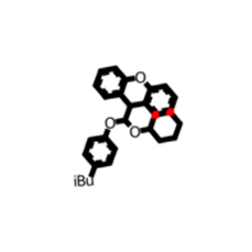 CCC(C)c1ccc(OC(OC2CCCCC2)C2c3ccccc3Oc3ccccc32)cc1